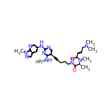 CCCNc1nc(Nc2cnc3c(cnn3C)c2)ncc1C#CCCCNC(=O)[C@H](C)N(C)C(=O)/C=C/CN(C)C